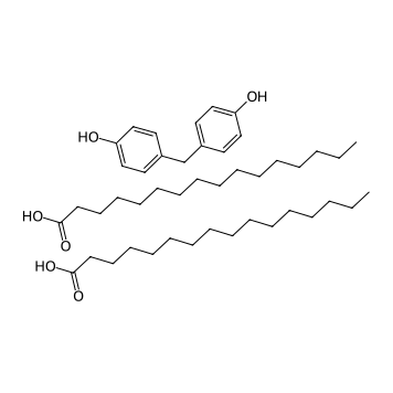 CCCCCCCCCCCCCCCC(=O)O.CCCCCCCCCCCCCCCC(=O)O.Oc1ccc(Cc2ccc(O)cc2)cc1